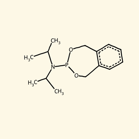 CC(C)N(C(C)C)P1OCc2ccccc2CO1